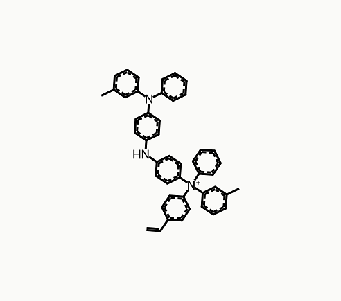 C=Cc1ccc([N+](c2ccccc2)(c2ccc(Nc3ccc(N(c4ccccc4)c4cccc(C)c4)cc3)cc2)c2cccc(C)c2)cc1